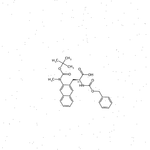 CN(C(=O)OC(C)(C)C)c1cc2ccccc2cc1C[C@H](NC(=O)OCc1ccccc1)C(=O)O